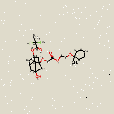 CC1(OCCOC(=O)COC23CC4CC(O)(C2)CC(OC(=O)C(C)(F)F)(C4)C3)CCCCC1